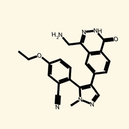 CCOc1ccc(-c2c(-c3ccc4c(=O)[nH]nc(CN)c4c3)cnn2C)c(C#N)c1